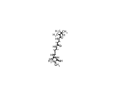 CCC(C)(C)C(C)C(=O)NCCC(=O)NCCSNC(=N)NC(=N)N(C)C